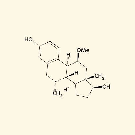 CO[C@H]1C[C@]2(C)[C@@H](O)CC[C@H]2[C@H]2[C@H]1c1ccc(O)cc1C[C@H]2C